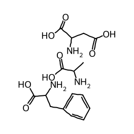 CC(N)C(=O)O.NC(CC(=O)O)C(=O)O.NC(Cc1ccccc1)C(=O)O